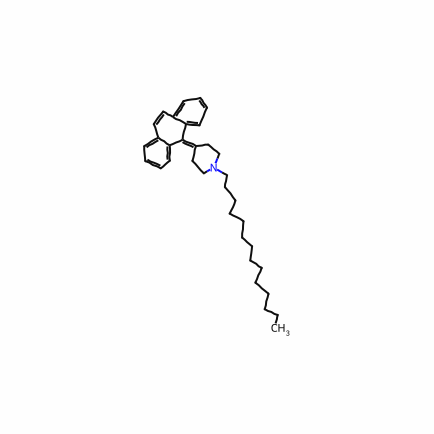 CCCCCCCCCCCCCCN1CCC(=C2c3ccccc3C=Cc3ccccc32)CC1